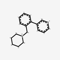 [c]1cccc(-c2cccnc2)c1CN1CCCCC1